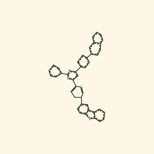 C1=CC(c2ccc3sc4ccccc4c3c2)CC=C1c1cc(-c2ccc(-c3ccc4ccccc4c3)cc2)nc(-c2ccccc2)n1